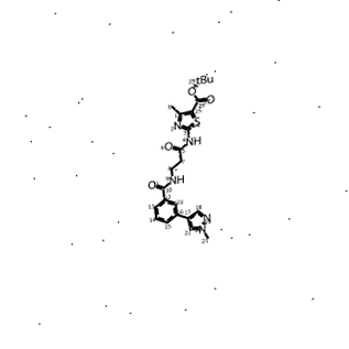 Cc1nc(NC(=O)CCNC(=O)c2cccc(-c3cnn(C)c3)c2)sc1C(=O)OC(C)(C)C